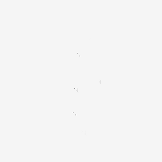 CC(S)N1CCN(CC(O)c2ccccn2)CC1